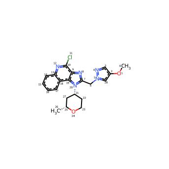 COc1cnn(Cc2nc3c(Cl)nc4ccccc4c3n2[C@@H]2CCO[C@H](C)C2)c1